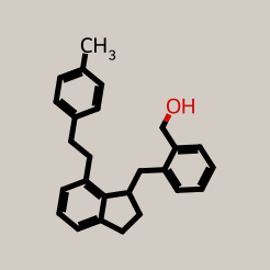 Cc1ccc(CCc2cccc3c2C(Cc2ccccc2CO)CC3)cc1